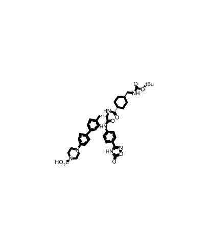 CC(C)(C)OC(=O)NC[C@H]1CC[C@H](C(=O)N[C@@H](Cc2ccc(-c3ccc(N4CCN(C(=O)O)CC4)cc3)cc2)C(=O)Nc2ccc(-c3noc(=O)[nH]3)cc2)CC1